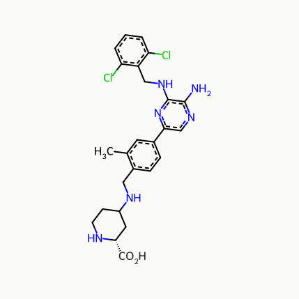 Cc1cc(-c2cnc(N)c(NCc3c(Cl)cccc3Cl)n2)ccc1CNC1CCN[C@@H](C(=O)O)C1